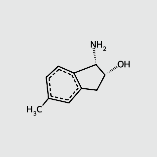 Cc1ccc2c(c1)C[C@@H](O)[C@H]2N